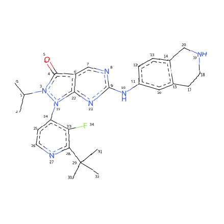 CC(C)n1c(=O)c2cnc(Nc3ccc4c(c3)CCNC4)nc2n1-c1ccnc(C(C)(C)C)c1F